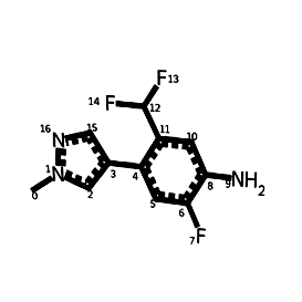 Cn1cc(-c2cc(F)c(N)cc2C(F)F)cn1